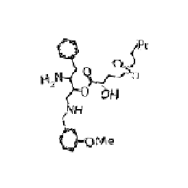 COc1cccc(CNCC(OC(=O)[C@@H](O)CCS(=O)(=O)CCC(C)C)C(N)Cc2ccccc2)c1